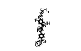 COCCOc1cc2[nH]nc(-c3cc(-c4ccc(C(=O)N5CCOCC5)cc4)no3)c2cc1F